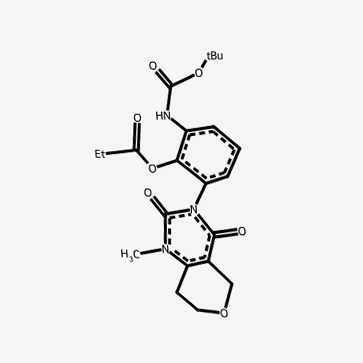 CCC(=O)Oc1c(NC(=O)OC(C)(C)C)cccc1-n1c(=O)c2c(n(C)c1=O)CCOC2